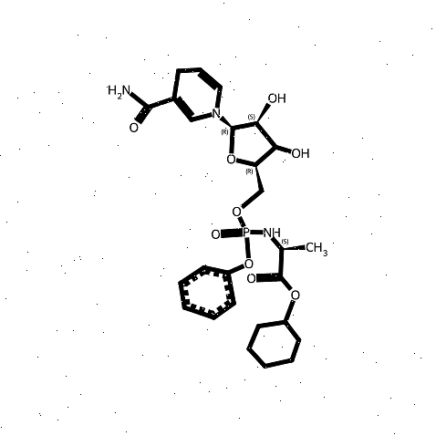 C[C@H](NP(=O)(OC[C@H]1O[C@@H](N2C=CCC(C(N)=O)=C2)[C@@H](O)C1O)Oc1ccccc1)C(=O)OC1CCCCC1